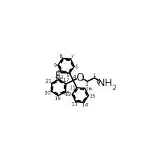 NCCOC(c1ccccc1)(c1ccccc1)c1ccccc1F